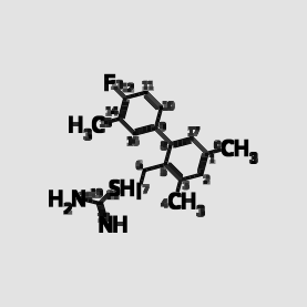 Cc1cc(C)c(CI)c(-c2ccc(F)c(C)c2)c1.N=C(N)S